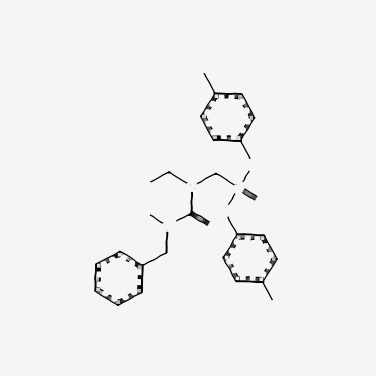 CCOC(=O)CN(CP(=O)(Oc1ccc(Cl)cc1)Oc1ccc(Cl)cc1)C(=O)[S+]([O-])Cc1ccccc1